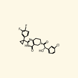 O=C([C@H](O)c1cccc(Cl)c1)N1CCc2nc(C3(c4ccc(F)c(F)c4)CC3)[nH]c(=O)c2C1